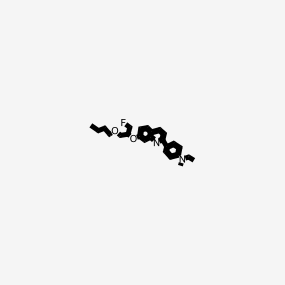 CCCCOCC(CF)Oc1ccc2ccc(-c3ccc(N(C)CC)cc3)nc2c1